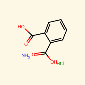 Cl.N.O=C(O)c1ccccc1C(=O)O